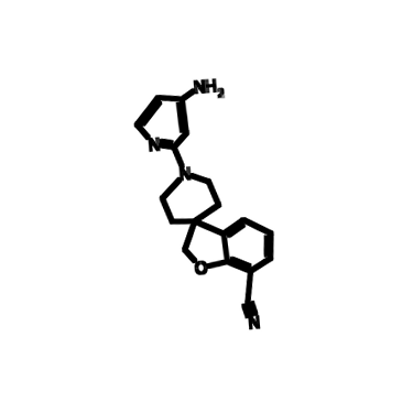 N#Cc1cccc2c1OCC21CCN(c2cc(N)ccn2)CC1